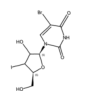 O=c1[nH]c(=O)n([C@H]2O[C@@H](CO)C(I)C2O)cc1Br